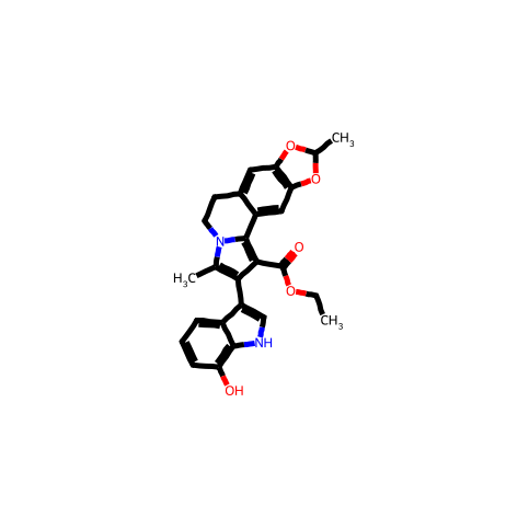 CCOC(=O)c1c(-c2c[nH]c3c(O)cccc23)c(C)n2c1-c1cc3c(cc1CC2)OC(C)O3